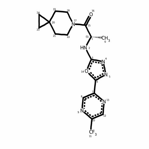 C[C@H](Nc1nnc(-c2cnc(C(F)(F)F)cn2)o1)C(=O)N1CCC2(CC1)CC2